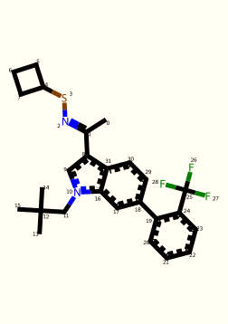 C/C(=N\SC1CCC1)c1cn(CC(C)(C)C)c2cc(-c3ccccc3C(F)(F)F)ccc12